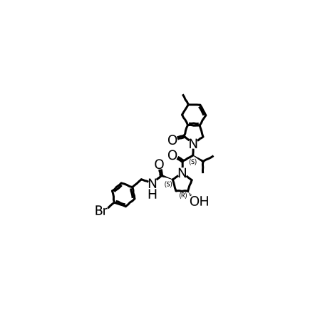 CC1C=CC2=C(C1)C(=O)N([C@H](C(=O)N1C[C@H](O)C[C@H]1C(=O)NCc1ccc(Br)cc1)C(C)C)C2